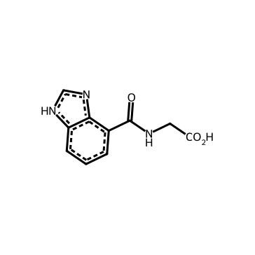 O=C(O)CNC(=O)c1cccc2[nH]cnc12